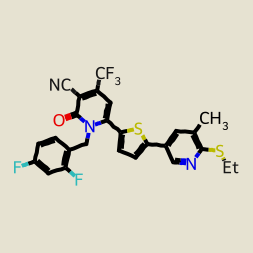 CCSc1ncc(-c2ccc(-c3cc(C(F)(F)F)c(C#N)c(=O)n3Cc3ccc(F)cc3F)s2)cc1C